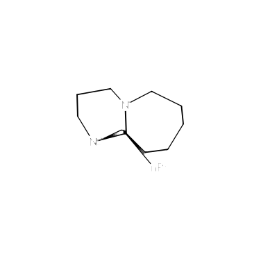 CCCC1CN2CCCN3CCCCCC132